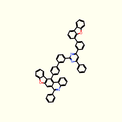 c1ccc(-c2cc(-c3cccc(-c4cccc5c4oc4ccccc45)c3)nc(-c3cccc(-c4ccc(-c5c6c(cc7c(-c8ccccc8)nc8ccccc8c57)oc5ccccc56)cc4)c3)n2)cc1